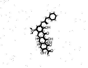 C=C(Cc1cc(N(C)C)c2c(c1O)C(=O)C1=C(O)[C@]3(O)C(=O)C(C(C)=O)=C(O)C[C@@H]3C[C@@H]1C2)CC1CCCCC1